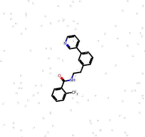 O=C(NCCc1cccc(-c2cccnc2)c1)c1ccccc1C(F)(F)F